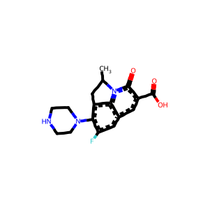 CC1Cc2c(N3CCNCC3)c(F)cc3cc(C(=O)O)c(=O)n1c23